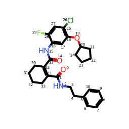 O=C(NCCc1ccccc1)C1=C(C(=O)Nc2cc(OC3CCCC3)c(Cl)cc2F)CCCC1